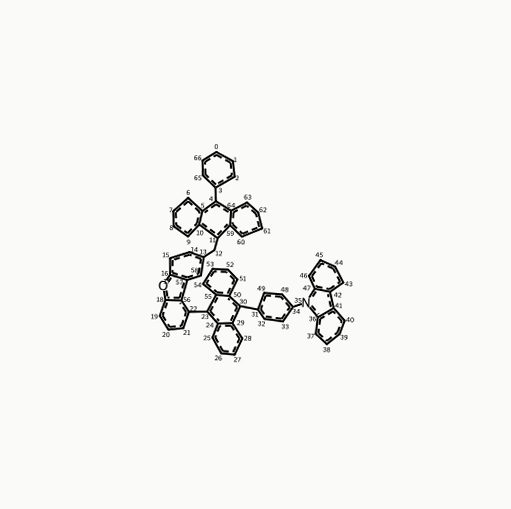 c1ccc(-c2c3ccccc3c(Cc3ccc4oc5cccc(-c6c7ccccc7c(-c7ccc(-n8c9ccccc9c9ccccc98)cc7)c7ccccc67)c5c4c3)c3ccccc23)cc1